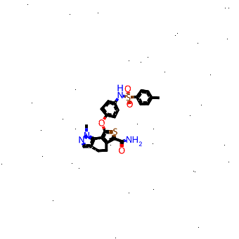 Cc1ccc(S(=O)(=O)Nc2ccc(Oc3sc(C(N)=O)c4c3-c3c(cnn3C)CC4)cc2)cc1